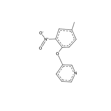 Cc1ccc(Oc2cccnc2)c([N+](=O)[O-])c1